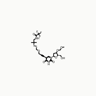 COCOC1C[C@H](n2cc(C#CCOCSSC(C)(C)CNC(=O)C(F)(F)F)c(=O)[nH]c2=O)O[C@@H]1CO